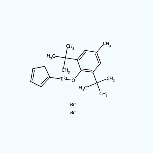 Cc1cc(C(C)(C)C)c([O][Ti+2][C]2=CC=CC2)c(C(C)(C)C)c1.[Br-].[Br-]